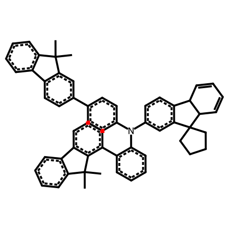 CC1(C)c2ccccc2-c2ccc(-c3ccc(N(c4ccc5c(c4)C4(CCCC4)C4C=CC=CC54)c4ccccc4-c4cccc5c4C(C)(C)c4ccccc4-5)cc3)cc21